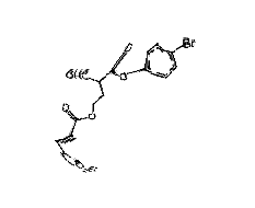 CCOC(=O)C=CC(=O)OCCC(C=O)C(=O)Oc1ccc(Br)cc1